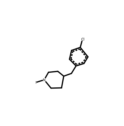 Clc1ccc(CC2CCN(I)CC2)cc1